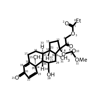 CCC(=O)OCC(=O)[C@@]1(OC(=O)OC)CC[C@H]2[C@@H]3CCC4=CC(=O)C=C[C@]4(C)[C@H]3C(O)C[C@@]21C